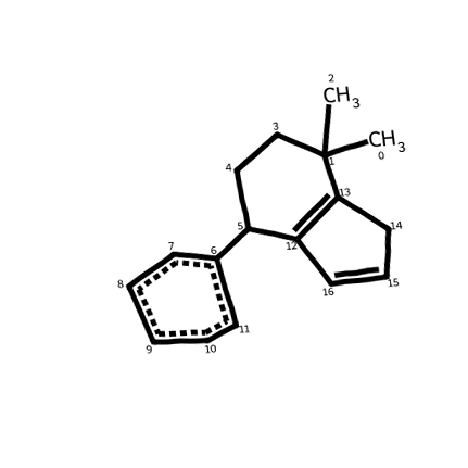 CC1(C)CCC(c2ccccc2)C2=C1CC=C2